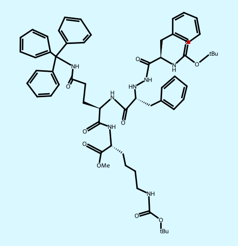 COC(=O)[C@@H](CCCCNC(=O)OC(C)(C)C)NC(=O)[C@@H](CCC(=O)NC(c1ccccc1)(c1ccccc1)c1ccccc1)NC(=O)[C@@H](Cc1ccccc1)NNC(=O)[C@@H](Cc1ccccc1)NC(=O)OC(C)(C)C